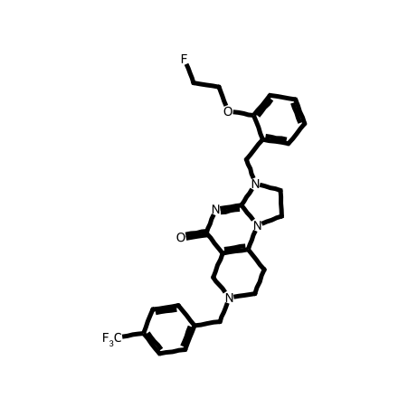 O=c1nc2n(c3c1CN(Cc1ccc(C(F)(F)F)cc1)CC3)CCN2Cc1ccccc1OCCF